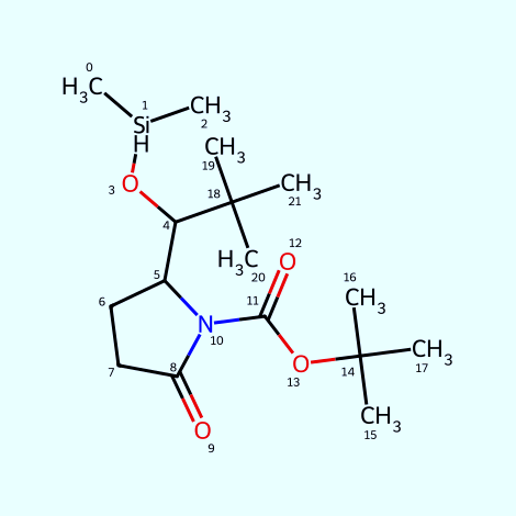 C[SiH](C)OC(C1CCC(=O)N1C(=O)OC(C)(C)C)C(C)(C)C